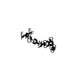 CS(=O)(=O)Oc1ccc(Cl)c2c1COC(c1csc(C3CCN(C(=O)Cn4nc(C(F)F)cc4C(F)F)CC3)n1)OC2